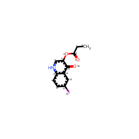 CCC(=O)Oc1c[nH]c2ccc(I)cc2c1=O